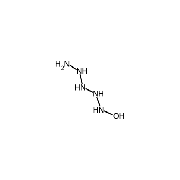 NNNNNO